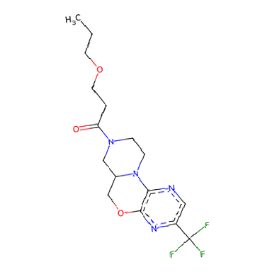 CCCOCCC(=O)N1CCN2c3ncc(C(F)(F)F)nc3OCC2C1